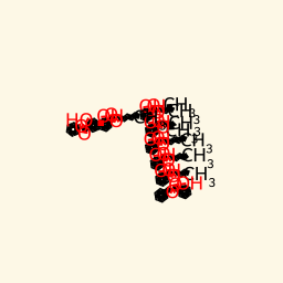 CC(C)CCOC(=O)c1ccccc1O.CC(C)COC(=O)c1ccccc1O.CCC=CCCOC(=O)c1ccccc1O.CCCCCCOC(=O)c1ccccc1O.CCCCCOC(=O)c1ccccc1O.CCCCOC(=O)c1ccccc1O.O=C(OC1CCCCC1)c1ccccc1O.O=C(OCc1ccccc1)c1ccccc1O